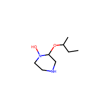 CCC(C)OC1CNCCN1O